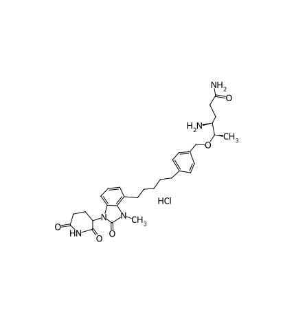 C[C@@H](OCc1ccc(CCCCCc2cccc3c2n(C)c(=O)n3C2CCC(=O)NC2=O)cc1)[C@@H](N)CCC(N)=O.Cl